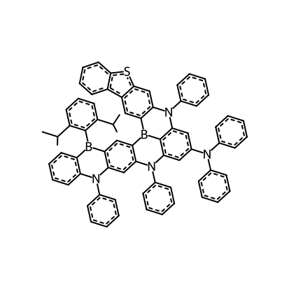 CC(C)c1cccc(C(C)C)c1B1c2ccccc2N(c2ccccc2)c2cc3c(cc21)B1c2cc4c(cc2N(c2ccccc2)c2cc(N(c5ccccc5)c5ccccc5)cc(c21)N3c1ccccc1)sc1ccccc14